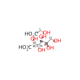 O=C(O)CO.O=C(O)[C@H](O)[C@@H](O)[C@H](O)[C@H](O)CO